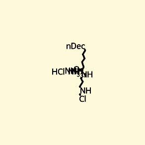 CCCCCCCCCCCCCCCC(=O)NCCCNCCl.Cl.N.N.N